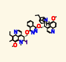 CCCC(C)CCN(C)[C@H](I)[C@@H](COc1nnc(OC[C@@H](c2ccnc3ccc(OC)cc23)[C@H]2CC3CCN2CC3CC)c2ccccc12)c1ccnc2ccc(OC)cc12